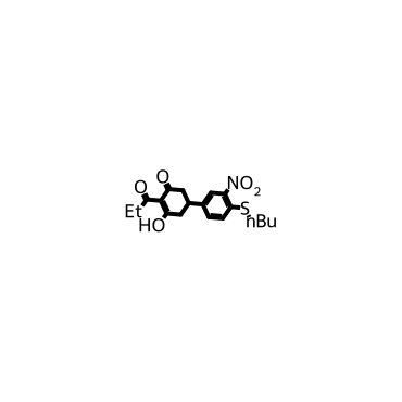 CCCCSc1ccc(C2CC(=O)C(C(=O)CC)=C(O)C2)cc1[N+](=O)[O-]